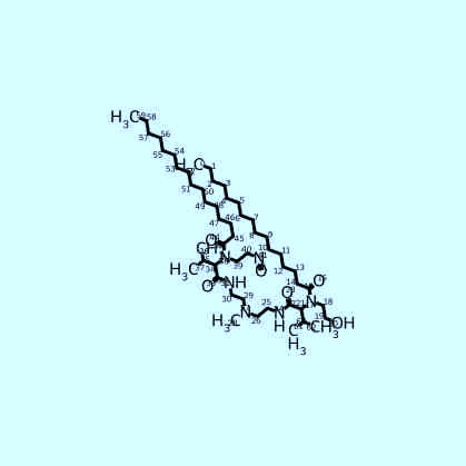 CCCCCCCCCCCCCCCC(=O)N(CCO)C(C(=O)NCCN(C)CCNC(=O)C(C(C)C)N(CCN=O)C(=O)CCCCCCCCCCCCCCC)C(C)C